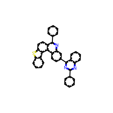 c1ccc(-c2nc(-c3ccc4c(c3)nc(-c3ccccc3)c3ccc5sc6ccccc6c5c34)c3ccccc3n2)cc1